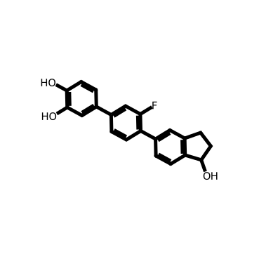 Oc1ccc(-c2ccc(-c3ccc4c(c3)CCC4O)c(F)c2)cc1O